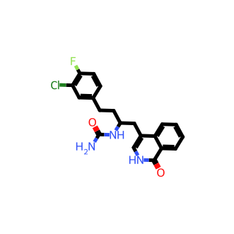 NC(=O)NC(CCc1ccc(F)c(Cl)c1)Cc1c[nH]c(=O)c2ccccc12